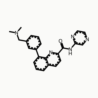 CN(C)Cc1cccc(-c2cccc3ccc(C(=O)Nc4cnccn4)nc23)c1